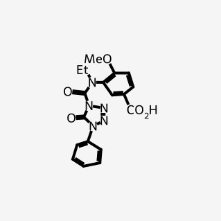 CCN(C(=O)n1nnn(-c2ccccc2)c1=O)c1cc(C(=O)O)ccc1OC